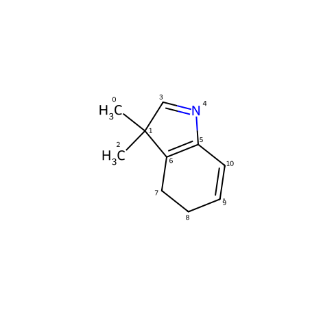 CC1(C)C=NC2=C1CC[C]=C2